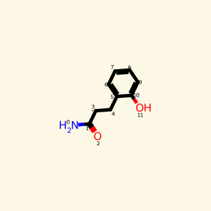 NC(=O)[CH]Cc1ccccc1O